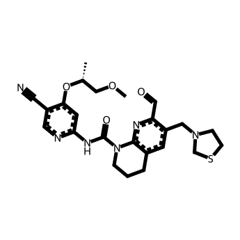 COC[C@@H](C)Oc1cc(NC(=O)N2CCCc3cc(CN4CCSC4)c(C=O)nc32)ncc1C#N